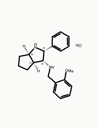 COc1ccccc1CN[C@@H]1[C@H]2CCC[C@H]2N[C@@H]1c1ccccc1.Cl